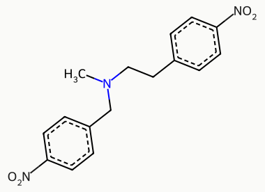 CN(CCc1ccc([N+](=O)[O-])cc1)Cc1ccc([N+](=O)[O-])cc1